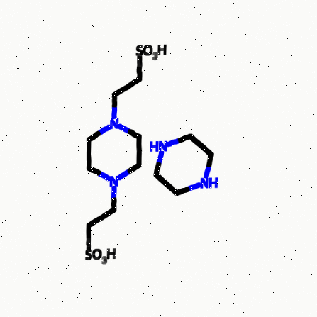 C1CNCCN1.O=S(=O)(O)CCN1CCN(CCS(=O)(=O)O)CC1